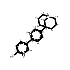 Fc1ccc(-c2ccc(C34CCCN(CCC3)C4)cn2)cn1